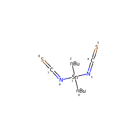 CCC[CH2][Sn]([CH2]CCC)([N]=C=S)[N]=C=S